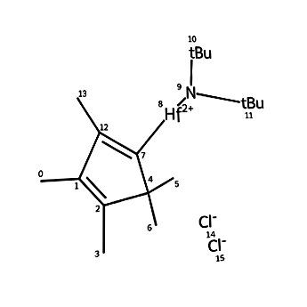 CC1=C(C)C(C)(C)[C]([Hf+2][N](C(C)(C)C)C(C)(C)C)=C1C.[Cl-].[Cl-]